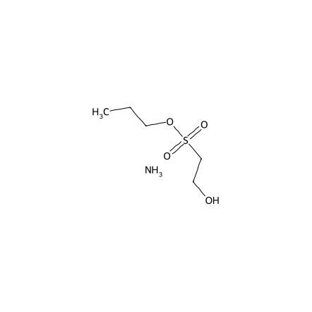 CCCOS(=O)(=O)CCO.N